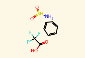 N[SH](=O)=O.O=C(O)C(F)(F)F.c1ccccc1